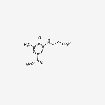 COC(=O)c1cc(C)c(Cl)c(NCCC(=O)O)c1